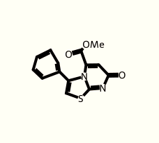 COC(=O)c1cc(=O)nc2scc(-c3ccccc3)n12